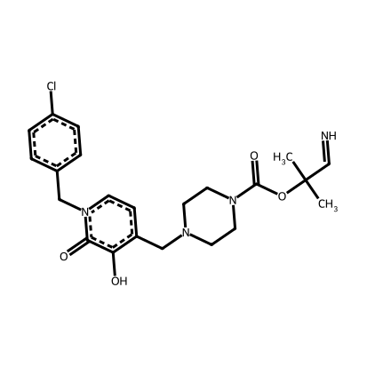 CC(C)(C=N)OC(=O)N1CCN(Cc2ccn(Cc3ccc(Cl)cc3)c(=O)c2O)CC1